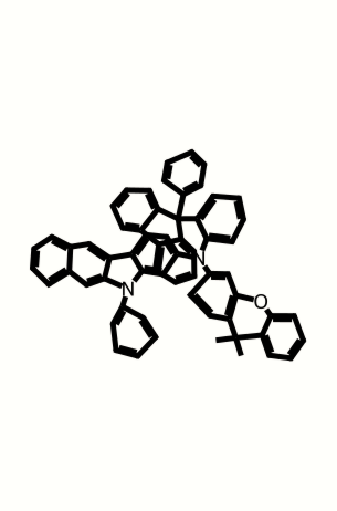 CC1(C)c2ccccc2Oc2cc(N(c3ccc4c5cc6ccccc6cc5n(-c5ccccc5)c4c3)c3ccccc3C3(c4ccccc4)c4ccccc4-c4ccccc43)ccc21